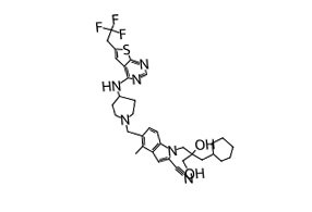 Cc1c(CN2CCC(Nc3ncnc4sc(CC(F)(F)F)cc34)CC2)ccc2c1cc(C#N)n2CC(O)(CO)CC1CCCCC1